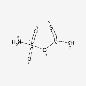 NS(=O)(=O)OC(=S)S